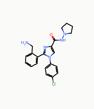 NCc1ccccc1-c1nc(C(=O)NN2CCCC2)cn1-c1ccc(Cl)cc1